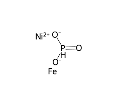 O=[PH]([O-])[O-].[Fe].[Ni+2]